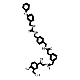 C[C@H](Cc1cccc(CC(=O)NCc2ccc(CNC(=O)NCc3cccc(Oc4ccccc4)c3)cc2)c1)NC[C@@H](O)c1ccc(O)c(CO)c1